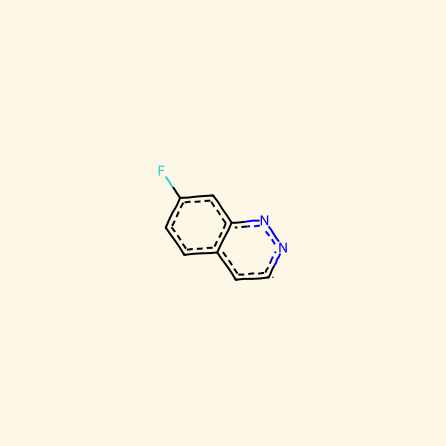 Fc1ccc2c[c]nnc2c1